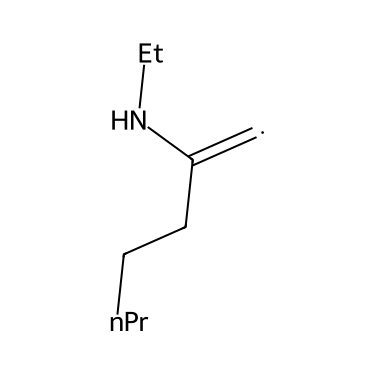 [CH]=C(CCCCC)NCC